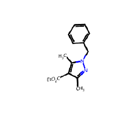 CCOC(=O)c1c(C)nn(Cc2ccccc2)c1C